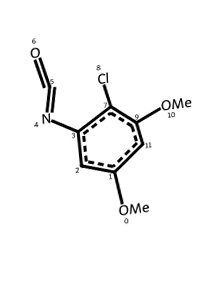 COc1cc(N=C=O)c(Cl)c(OC)c1